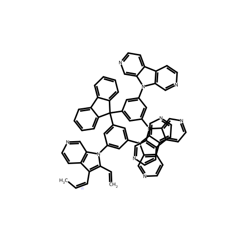 C=Cc1c(/C=C\C)c2ccncc2n1-c1cc(-n2c3cnccc3c3ccncc32)cc(C2(c3cc(-n4c5cnccc5c5ccncc54)cc(-n4c5cnccc5c5ccncc54)c3)c3ccccc3-c3ccccc32)c1